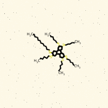 C=CCCCCCCCCCCSc1cc2c3cc(SCCCCCC)c(SCCCCCC)cc3c3cc(SCCCCCC)c(SCCCCCC)cc3c2cc1SCCCCCC